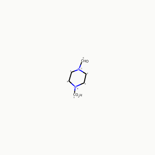 O=CN1CCN(C(=O)O)CC1